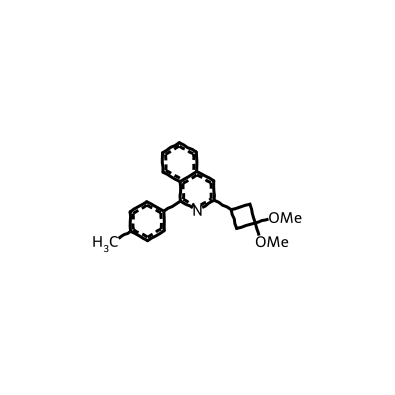 COC1(OC)CC(c2cc3ccccc3c(-c3ccc(C)cc3)n2)C1